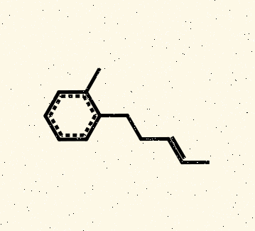 CC=CCCc1ccccc1C